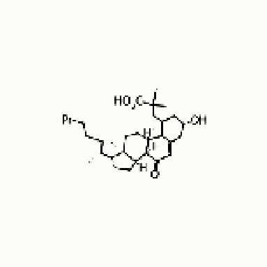 CC(C)CCC[C@@H](C)[C@H]1CC[C@H]2[C@@H]3C(=O)C=C4C[C@@H](O)CC(CC(C)(C)C(=O)O)[C@]4(C)[C@H]3CC[C@]12C